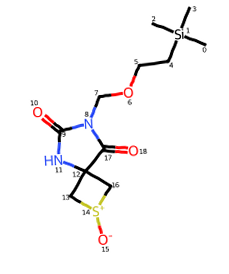 C[Si](C)(C)CCOCN1C(=O)NC2(C[S+]([O-])C2)C1=O